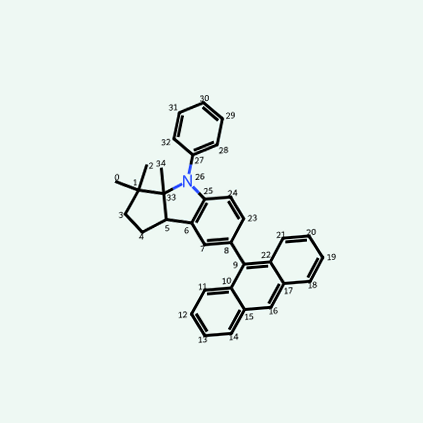 CC1(C)CCC2c3cc(-c4c5ccccc5cc5ccccc45)ccc3N(c3ccccc3)C21C